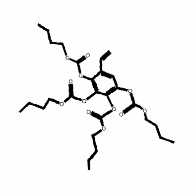 C=Cc1cc(OC(=O)OCCCC)c(OC(=O)OCCCC)c(OC(=O)OCCCC)c1OC(=O)OCCCC